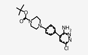 CC(C)(C)OC(=O)N1CCN(c2ccc(-c3cc(Cl)nnc3N)cc2)CC1